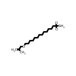 C=C(C)COCCCCCCCCCCCCCC([SiH3])(Cl)Cl